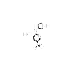 Cl.O=[N+]([O-])c1ccc(N[C@H]2CCNC2)nc1